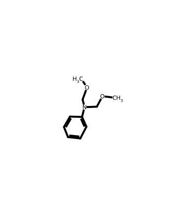 COCN(COC)c1ccccc1